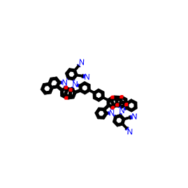 N#Cc1ccc(-n2c3ccccc3c3c4ccccc4ccc32)c(-n2c3ccccc3c3cc(-c4ccc(-c5cc6ccccc6c6c5c5ccccc5n6-c5ccc(C#N)c(C#N)c5-n5c6ccccc6c6ccccc65)cc4)ccc32)c1C#N